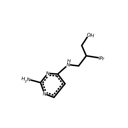 CC(C)C(CO)CNc1ccnc(N)n1